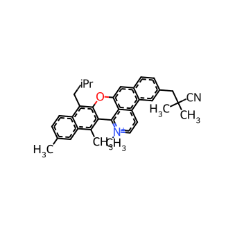 Cc1ccc2c(CC(C)C)c3c(c(C)c2c1)-c1c2c(cc4ccc(CC(C)(C)C#N)cc4c2cc[n+]1C)O3